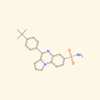 CC(C)(C)c1ccc(-c2nc3cc(S(N)(=O)=O)ccc3n3cccc23)cc1